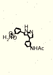 CC(=O)Nc1cccc(-c2ccnc3[nH]c(-c4cccc(S(N)(=O)=O)c4)cc23)c1